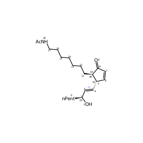 CCCCC[C@H](O)/C=C/[C@H]1C=CC(=O)[C@@H]1CCCCCCCNC(C)=O